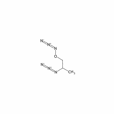 CC(CON=[N+]=[N-])N=[N+]=[N-]